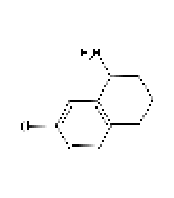 NC1CCCc2ccc(Cl)cc21